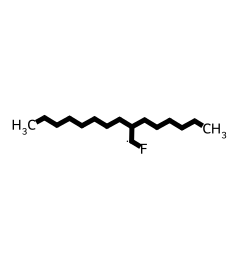 CCCCCCCCC([CH]F)CCCCCC